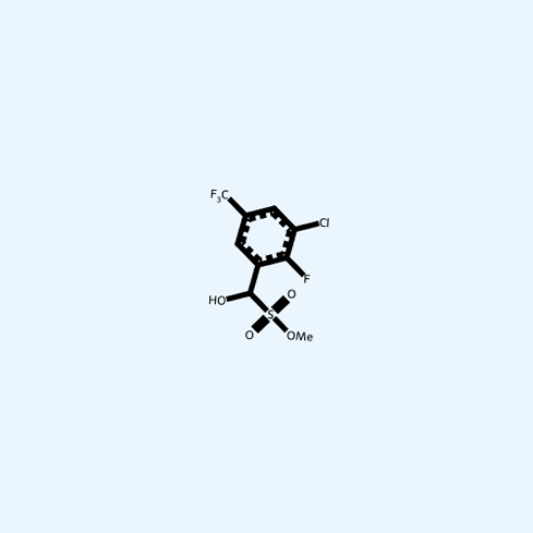 COS(=O)(=O)C(O)c1cc(C(F)(F)F)cc(Cl)c1F